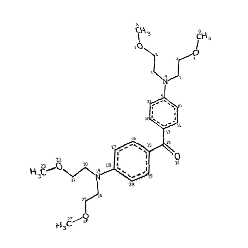 COCCN(CCOC)c1ccc(C(=O)c2ccc(N(CCOC)CCOC)cc2)cc1